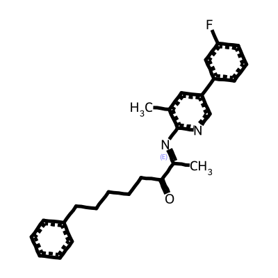 C/C(=N\c1ncc(-c2cccc(F)c2)cc1C)C(=O)CCCCCc1ccccc1